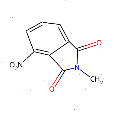 [CH2]N1C(=O)c2cccc([N+](=O)[O-])c2C1=O